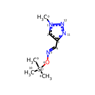 Cn1cc(C=NO[Si](C)(C)C)nn1